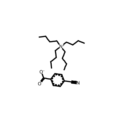 CCCC[N+](CCCC)(CCCC)CCCC.N#Cc1ccc(C(=O)[O-])cc1